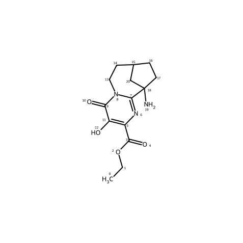 CCOC(=O)c1nc2n(c(=O)c1O)CCC1CCC2(N)C1